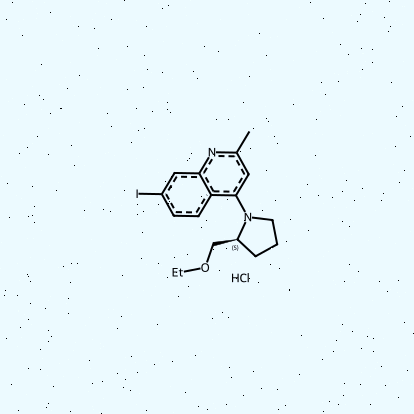 CCOC[C@@H]1CCCN1c1cc(C)nc2cc(I)ccc12.Cl